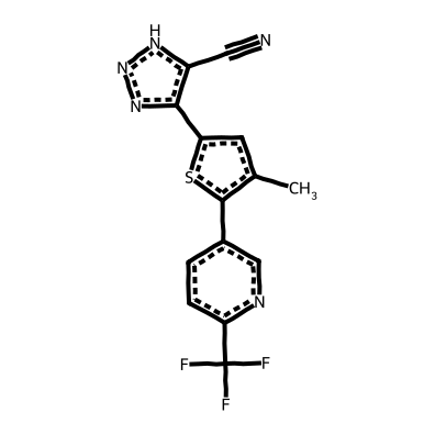 Cc1cc(-c2nn[nH]c2C#N)sc1-c1ccc(C(F)(F)F)nc1